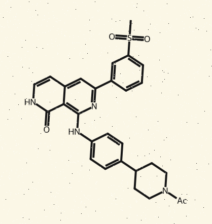 CC(=O)N1CCC(c2ccc(Nc3nc(-c4cccc(S(C)(=O)=O)c4)cc4cc[nH]c(=O)c34)cc2)CC1